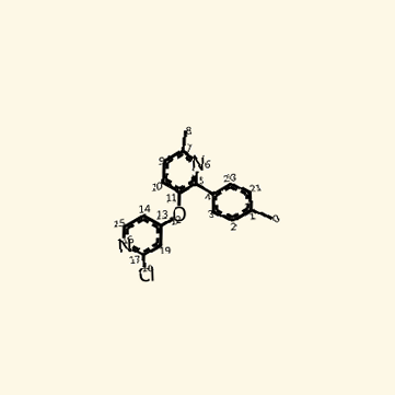 Cc1ccc(-c2nc(C)ccc2Oc2ccnc(Cl)c2)cc1